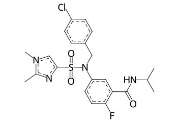 Cc1nc(S(=O)(=O)N(Cc2ccc(Cl)cc2)c2ccc(F)c(C(=O)NC(C)C)c2)cn1C